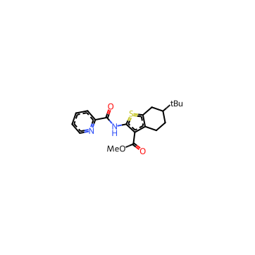 COC(=O)c1c(NC(=O)c2ccccn2)sc2c1CCC(C(C)(C)C)C2